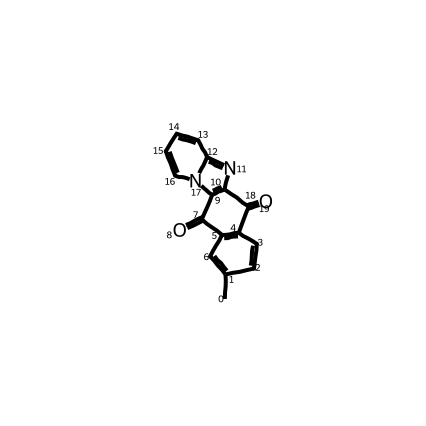 Cc1ccc2c(c1)C(=O)c1c(nc3ccccn13)C2=O